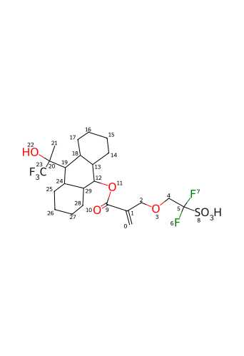 C=C(COCC(F)(F)S(=O)(=O)O)C(=O)OC1C2CCCCC2C(C(C)(O)C(F)(F)F)C2CCCCC21